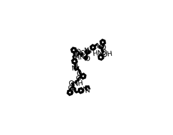 O=C(NCCOc1ccccc1OCc1cnn(-c2ccc(CN3CC(C(=O)NC4COC4c4cnn(-c5ccc(CN6CC(C(=O)N[C@H]7CCCC[C@@H]7O)Oc7ccccc76)cc5)c4)Oc4ccccc43)cc2)c1)C1CN(Cc2ccc(-n3cccn3)cc2)c2ccccc2O1